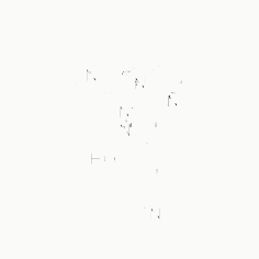 Cc1cc(C#N)cc(O)c1-c1cc2c(nn1)N([C@H]1CCCN(C)C1)CCN2